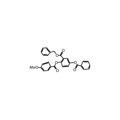 COc1ccc(C(=O)Oc2ccc(OC(=O)c3ccccc3)cc2C(=O)OCc2ccccc2)cc1